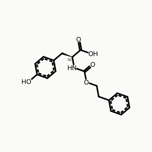 O=C(N[C@@H](Cc1ccc(O)cc1)C(=O)O)OCCc1ccccc1